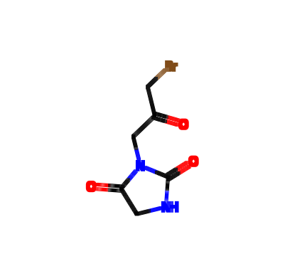 O=C(CBr)CN1C(=O)CNC1=O